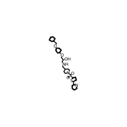 O=S(=O)(c1ccc(-c2ccccn2)s1)N1CCC(CNC[C@H](O)COc2ccc(OCc3ccccc3)cc2)CC1